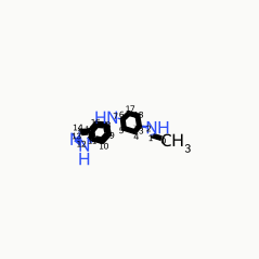 CCN[C@H]1CC[C@H](Nc2ccc3[nH]ncc3c2)CC1